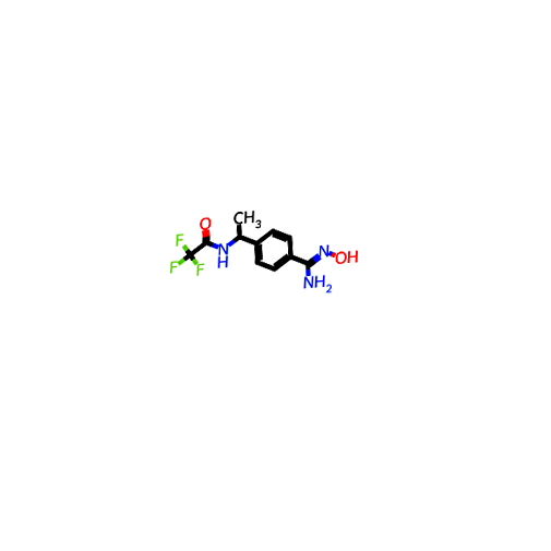 CC(NC(=O)C(F)(F)F)c1ccc(C(N)=NO)cc1